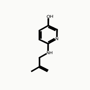 C=C(C)CNc1ccc(O)cn1